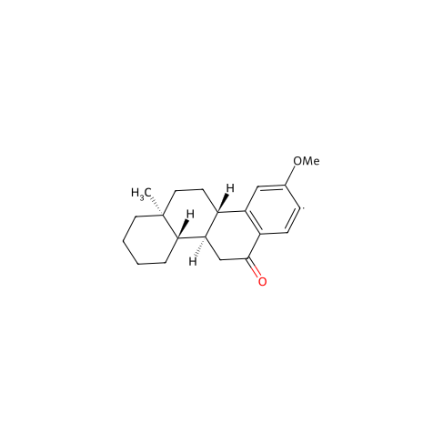 COc1[c]cc2c(c1)[C@H]1CC[C@]3(C)CCCC[C@H]3[C@@H]1CC2=O